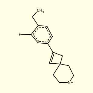 CCc1ccc(C2=CC3(CCNCC3)C2)cc1F